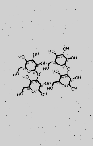 OC[C@@H](O)[C@@H](O[C@H]1O[C@H](CO)[C@@H](O)[C@H](O)[C@H]1O)[C@H](O)[C@@H](O)CO.OC[C@@H](O)[C@@H](O[C@H]1O[C@H](CO)[C@@H](O)[C@H](O)[C@H]1O)[C@H](O)[C@@H](O)CO